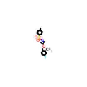 Cc1ccc(S(=O)(=O)ON2CC(OCc3ccc(F)cc3C(F)(F)F)C2)cc1